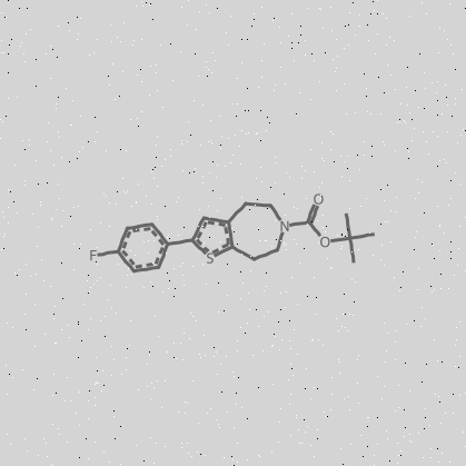 CC(C)(C)OC(=O)N1CCc2cc(-c3ccc(F)cc3)sc2CC1